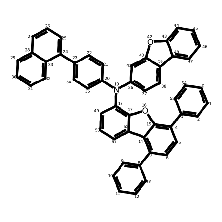 c1ccc(-c2ccc(-c3ccccc3)c3c2oc2c(N(c4ccc(-c5cccc6ccccc56)cc4)c4ccc5c(c4)oc4ccccc45)cccc23)cc1